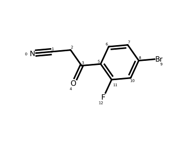 N#CCC(=O)c1ccc(Br)cc1F